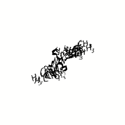 C[Si](C)(C)O[SiH](CCCN1C(=O)C2=C(c3cccs3)N(CCC[SiH](O[Si](C)(C)C)O[Si](C)(C)C)C(=O)C2=C1c1cccs1)O[Si](C)(C)C